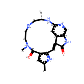 Cc1cc2c([nH]1)/C=C1\C(=O)Nc3cnc(cc31)N[C@@H](C)CNCCN(C)C2=O